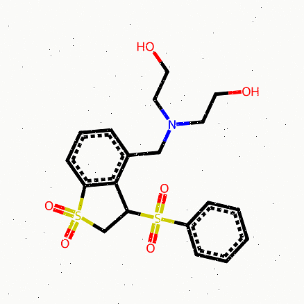 O=S1(=O)CC(S(=O)(=O)c2ccccc2)c2c(CN(CCO)CCO)cccc21